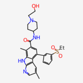 CCS(=O)(=O)c1cccc(-c2cc(C(=O)NC3CCN(CCO)CC3)c(C)c3[nH]c4ncc(C)cc4c23)c1